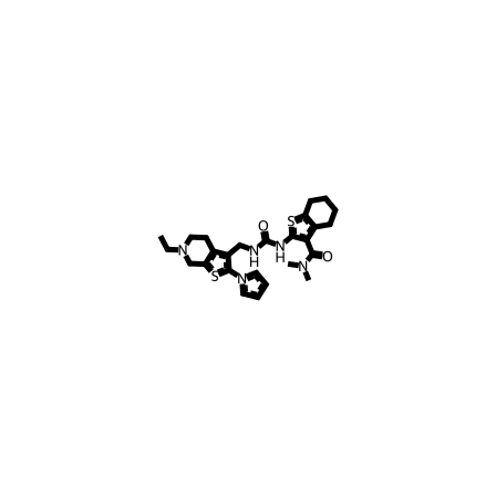 CCN1CCc2c(sc(-n3cccc3)c2CNC(=O)Nc2sc3c(c2C(=O)N(C)C)CCCC3)C1